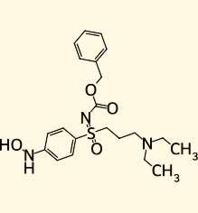 CCN(CC)CCCS(=O)(=NC(=O)OCc1ccccc1)c1ccc(NO)cc1